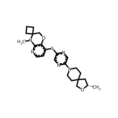 C[C@H]1CC2(CCN(c3cnc(Sc4ccnc5c4OCC4(CCC4)N5C)cn3)CC2)CO1